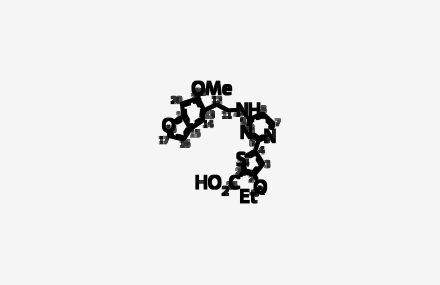 CCOc1cc(-c2nccc(NCCc3cc4ccoc4cc3OC)n2)sc1C(=O)O